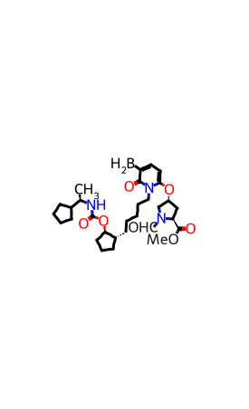 Bc1ccc(O[C@@H]2C[C@@H](C(=O)OC)N(C=O)C2)n(CCCCC[C@@H]2CCC[C@H]2OC(=O)N[C@H](C)C2CCCC2)c1=O